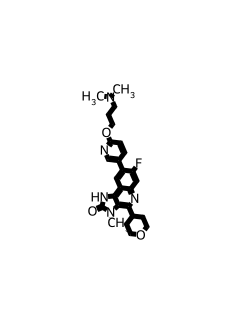 CN(C)CCCOc1ccc(-c2cc3c(cc2F)nc(C2CCOCC2)c2c3[nH]c(=O)n2C)cn1